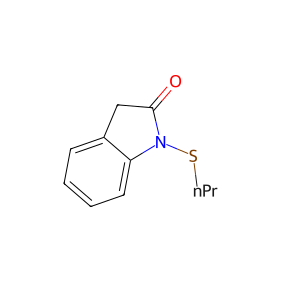 CCCSN1C(=O)Cc2ccccc21